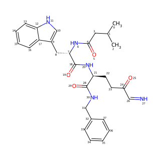 CC(C)CC(=O)N[C@@H](Cc1c[nH]c2ccccc12)C(=O)N[C@@H](CCC(=O)C=N)C(=O)NCc1ccccc1